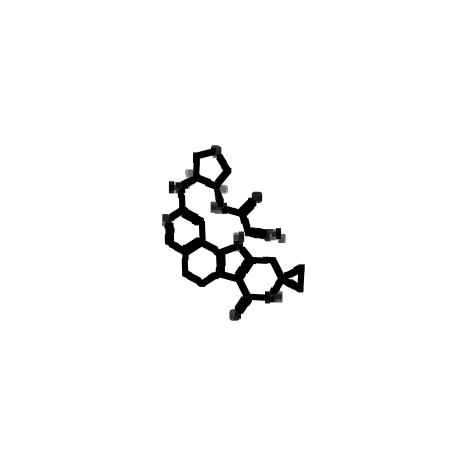 C=CC(=O)N[C@@H]1COC[C@@H]1Nc1cc2c(cn1)CCc1c-2[nH]c2c1C(=O)NC1(CC1)C2